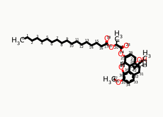 CCCCCCCCCCCCCCCCCC(=O)O[C@@H](C)C(=O)OC1=CC[C@@]2(O)[C@H]3Cc4ccc(OC)c5c4[C@@]2(CCC3C)[C@H]1O5